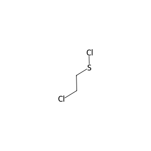 ClCCSCl